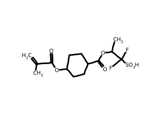 C=C(C)C(=O)OC1CCC(C(=O)OC(C)C(F)(F)S(=O)(=O)O)CC1